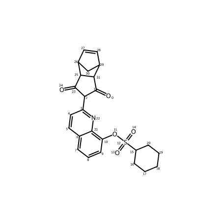 O=C1C(c2ccc3cccc(OS(=O)(=O)C4CCCCC4)c3n2)C(=O)C2C3C=CC(C3)C12